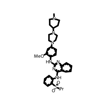 COc1cc(N2CCN(C3CCN(C)CC3)CC2)ccc1Nc1nc(Nc2ccccc2S(=O)(=O)C(C)C)c2ccccc2n1